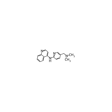 CN(C)Cc1ccc(Nc2ccnc3ccccc23)nc1